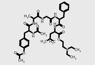 CCN(CC)CCOC(=O)C(CC(C)C)NC(=O)C(Cc1ccccc1)NC(=O)CNC(=O)C(C)NC(=O)C(Cc1ccc(OC(C)=O)cc1)NC(C)=O